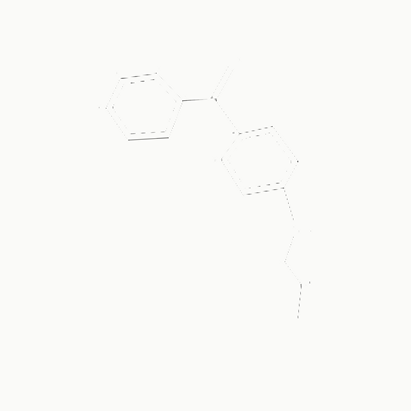 O=C(c1ccccc1)c1ccc(SCCO)cc1